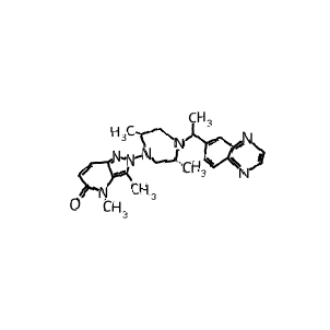 Cc1c2c(ccc(=O)n2C)nn1N1C[C@@H](C)N(C(C)c2ccc3nccnc3c2)C[C@@H]1C